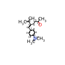 CC(=O)CC/C(=C\c1ccc(N(C)C)cc1)C(C)C